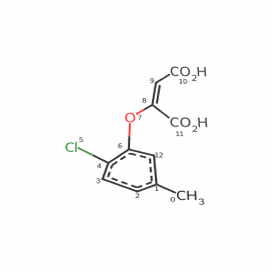 Cc1ccc(Cl)c(O/C(=C/C(=O)O)C(=O)O)c1